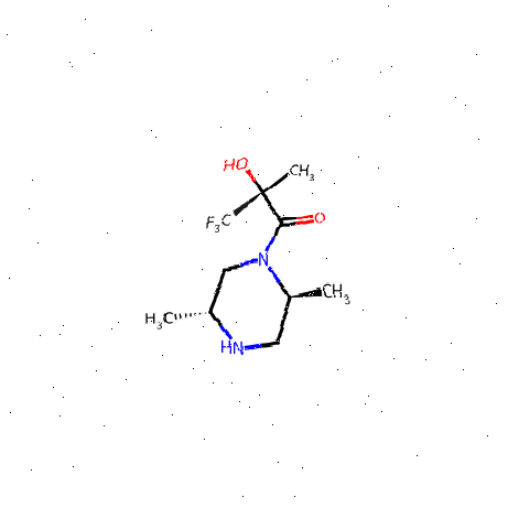 C[C@@H]1CN(C(=O)[C@@](C)(O)C(F)(F)F)[C@@H](C)CN1